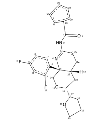 O=C(NC1=N[C@@]2(c3ccc(F)cc3F)CO[C@@H](C3CCCO3)C[C@H]2CS1)c1ccccc1